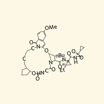 CCCCN(C(=O)C1CC2CN1C(=O)CNC(=O)OC1CCCC1CCCCCn1c(cc3cc(OC)ccc3c1=O)O2)[C@]1(C(=O)NS(=O)(=O)C2CC2)C[C@H]1CC